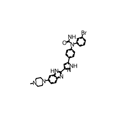 CN1CCN(c2ccc3nc(-c4cc(-c5ccc(N(C(N)=O)c6cccc(Br)c6)cc5)[nH]n4)[nH]c3c2)CC1